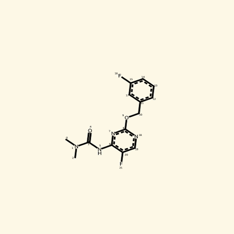 CN(C)C(=O)Nc1nc(OCc2cccc(F)c2)ncc1F